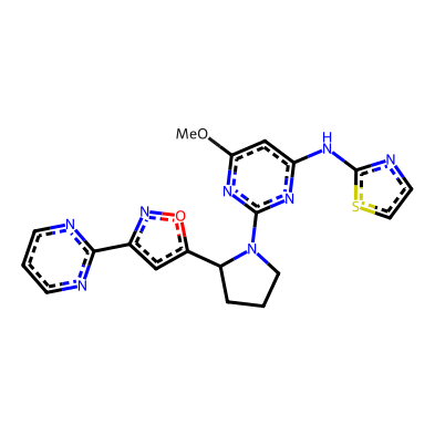 COc1cc(Nc2nccs2)nc(N2CCCC2c2cc(-c3ncccn3)no2)n1